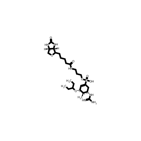 CCC(CC)O[C@@H]1C=C(P(=O)(O)OCCCNC(=O)CCCCC2SC[C@@H]3NC(=O)N[C@H]23)C[C@H](NC(=N)N)[C@H]1C